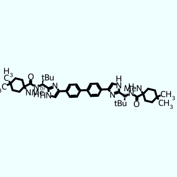 CNC1(C(=O)N[C@H](c2nc(-c3ccc(-c4ccc(-c5c[nH]c([C@@H](NC(=O)C6(NC)CCC(C)(C)CC6)C(C)(C)C)n5)cc4)cc3)c[nH]2)C(C)(C)C)CCC(C)(C)CC1